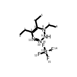 CCC1=C(CC)N(CC)NN=N1.F[B-](F)(F)F